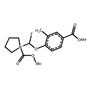 COC(=O)c1ccc(OC(F)[N+]2(C(=O)OC(C)(C)C)CCCC2)c(C)c1